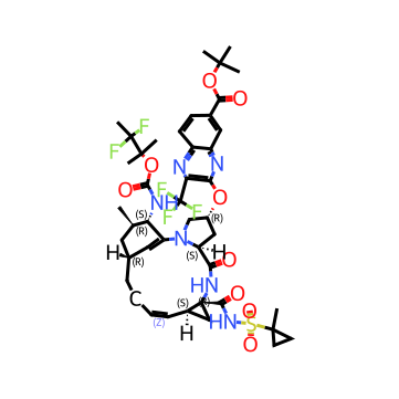 C[C@@H]1C[C@@H]2C=C([C@H]1NC(=O)OC(C)(C)C(C)(F)F)N1C[C@H](Oc3nc4cc(C(=O)OC(C)(C)C)ccc4nc3C(F)(F)F)C[C@H]1C(=O)N[C@]1(C(=O)NS(=O)(=O)C3(C)CC3)C[C@H]1/C=C\CC2